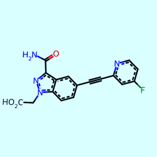 NC(=O)c1nn(CC(=O)O)c2ccc(C#Cc3cc(F)ccn3)cc12